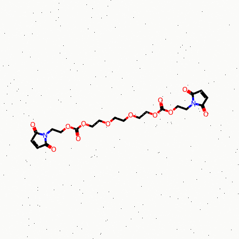 O=C(OCCOCCOCCOC(=O)OCCN1C(=O)C=CC1=O)OCCN1C(=O)C=CC1=O